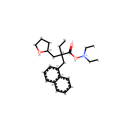 CCN(CC)OC(=O)C(CC)(Cc1cccc2ccccc12)CC1CCCO1